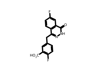 O=C(O)c1cc(Cc2n[nH]c(=O)c3cc(F)ccc23)ccc1F